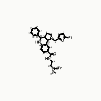 CCc1ccc(CN2CCC3C(c4ccccc4)Nc4ccc(C(=O)NCCN(C(C)C)C(C)C)cc4C32)o1